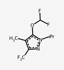 Cc1c(C(F)(F)F)nn(C(C)C)c1OC(F)F